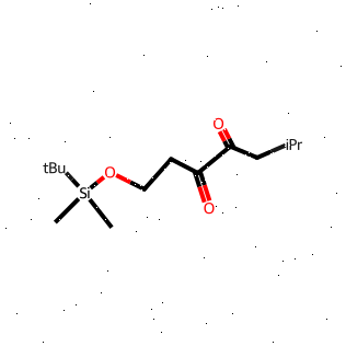 CC(C)CC(=O)C(=O)CCO[Si](C)(C)C(C)(C)C